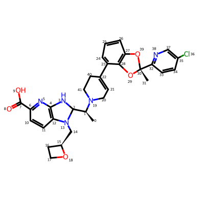 C[C@@H](C1Nc2nc(C(=O)O)ccc2N1C[C@@H]1CCO1)N1CC=C(c2cccc3c2O[C@@](C)(c2ccc(Cl)cn2)O3)CC1